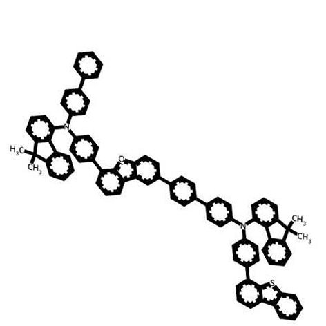 CC1(C)c2ccccc2-c2c(N(c3ccc(-c4ccccc4)cc3)c3ccc(-c4cccc5c4oc4ccc(-c6ccc(-c7ccc(N(c8ccc(-c9cccc%10c9sc9ccccc9%10)cc8)c8cccc9c8-c8ccccc8C9(C)C)cc7)cc6)cc45)cc3)cccc21